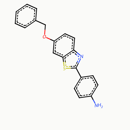 Nc1ccc(-c2nc3ccc(OCc4ccccc4)cc3s2)cc1